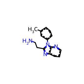 Cc1cccc(-n2c(CCN)nc3cccnc32)c1